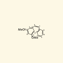 COc1cc(/C=C\c2ccccc2)cc(OC)c1